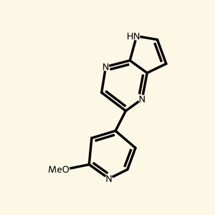 COc1cc(-c2cnc3[nH]ccc3n2)ccn1